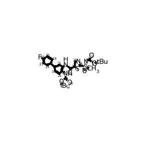 CC(C)(C)OC(=O)N=S(C)(=O)c1ncc(C(=O)Nc2cc(-c3ccc(F)cc3)ccc2NC(=O)OC(C)(C)C)s1